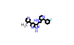 Cc1ccncc1-c1cnc2[nH]nc(-c3cc4c(-c5cccc(F)c5)nccc4[nH]3)c2c1